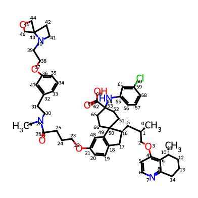 C[C@@H](COc1ccnc2c1[C@H](C)CCC2)C[C@H]1Cc2ccc(OCCCC(=O)N(C)CCc3cccc(OCCN4CCC45COC5)c3)cc2C12CCC(Nc1cccc(Cl)c1)(C(=O)O)CC2